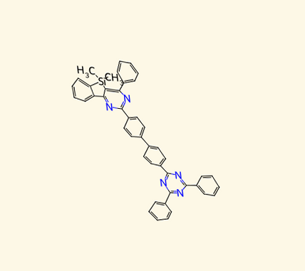 C[Si]1(C)c2ccccc2-c2nc(-c3ccc(-c4ccc(-c5nc(-c6ccccc6)nc(-c6ccccc6)n5)cc4)cc3)nc(-c3ccccc3)c21